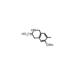 COc1cc2c(cc1C)CN[C@H](C(=O)O)C2